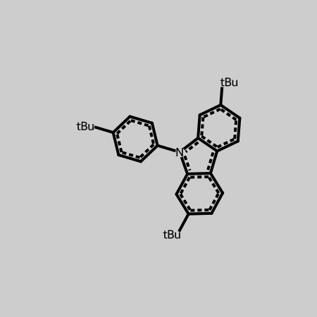 CC(C)(C)c1ccc(-n2c3cc(C(C)(C)C)ccc3c3ccc(C(C)(C)C)cc32)cc1